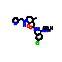 CC1=C(CC(=O)NCc2cc(Cl)ccc2CNC(=O)O)C(=O)N(NCc2cccnc2)CC1